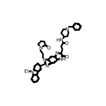 CCn1c2ccccc2c2cc(-c3nc4cc5[nH]c(=O)c(CCC(=O)NC6CCN(Cc7ccccc7)CC6)nc5cc4n3CCCN3CCCC3=O)ccc21